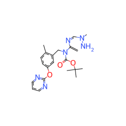 C=C(/N=C\N(C)N)N(Cc1cc(Oc2ncccn2)ccc1C)C(=O)OC(C)(C)C